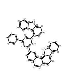 c1ccc(-c2nc(-c3ccc4ccc5ccc6c7ccccc7sc6c5c4c3)nc(-c3cccc4oc5ccccc5c34)n2)cc1